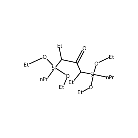 CCC[Si](OCC)(OCC)C(CC)C(=O)C(CC)[Si](CCC)(OCC)OCC